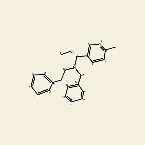 CC[C@H](c1ccc(C)nc1)N(CCc1ccccc1)Cc1ccccc1